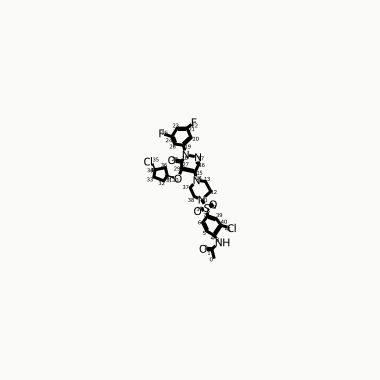 CC(=O)Nc1ccc(S(=O)(=O)N2CCN(c3cnn(-c4cc(F)cc(F)c4)c(=O)c3O[C@H]3CC[C@@H](Cl)C3)CC2)cc1Cl